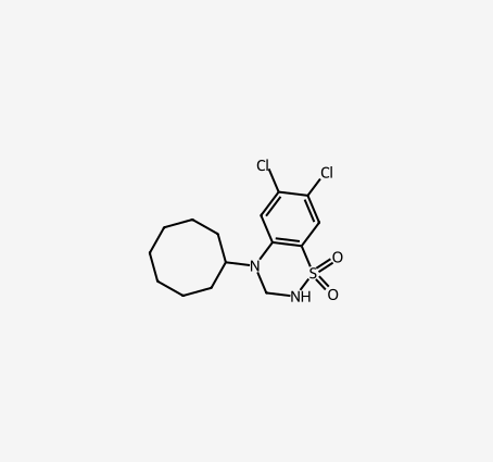 O=S1(=O)NCN(C2CCCCCCC2)c2cc(Cl)c(Cl)cc21